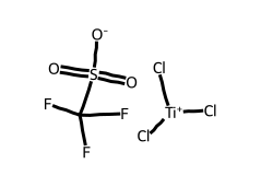 O=S(=O)([O-])C(F)(F)F.[Cl][Ti+]([Cl])[Cl]